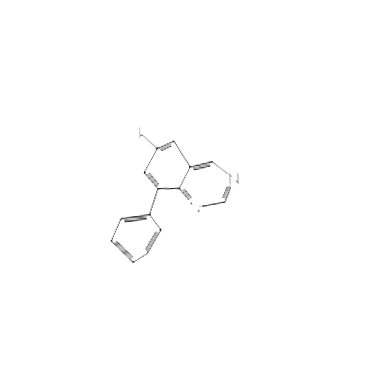 Ic1cc(-c2ccccc2)c2ncncc2c1